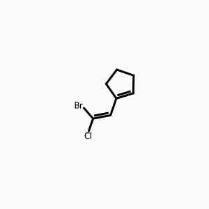 ClC(Br)=CC1=CCCC1